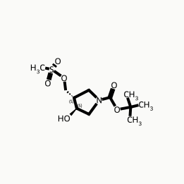 CC(C)(C)OC(=O)N1C[C@@H](COS(C)(=O)=O)[C@H](O)C1